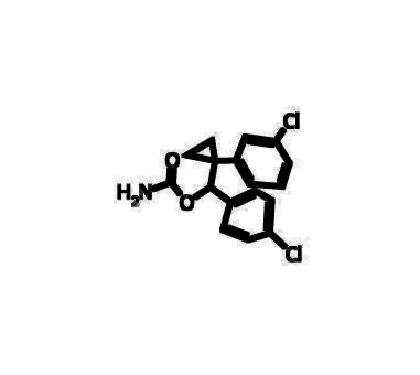 NC(=O)OC(c1ccc(Cl)cc1)C1(c2cccc(Cl)c2)CC1